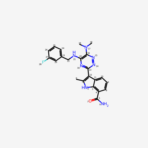 Cc1[nH]c2c(C(N)=O)cccc2c1-c1nnc(N(C)C)c(NCc2cccc(F)c2)n1